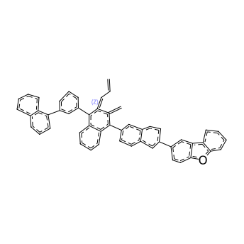 C=C/C=c1/c(-c2cccc(-c3cccc4ccccc34)c2)c2ccccc2c(-c2ccc3cc(-c4ccc5oc6ccccc6c5c4)ccc3c2)c1=C